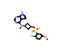 COc1ccc(Cl)c(S(=O)(=O)CC2CC(N(C)c3ncnc4[nH]ccc34)C2)c1